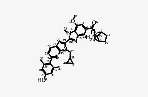 COc1cc(C(=O)N2CC3CCC2[C@@H]3N)cc2nc(-c3cc4ccc(-c5c(C)cc(O)cc5C)nc4n3CC3CC3)n(C)c12